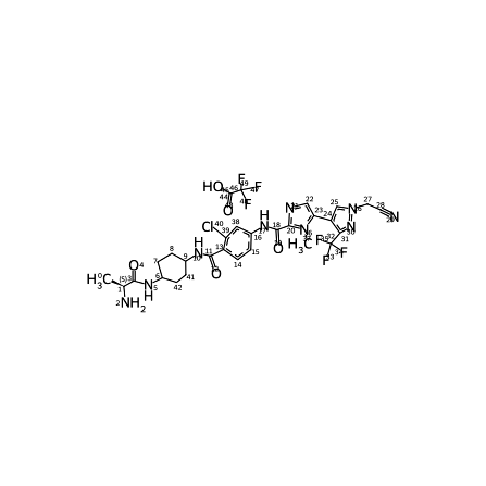 C[C@H](N)C(=O)NC1CCC(NC(=O)c2ccc(NC(=O)c3ncc(-c4cn(CC#N)nc4C(F)(F)F)n3C)cc2Cl)CC1.O=C(O)C(F)(F)F